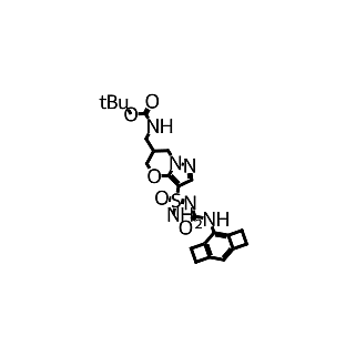 CC(C)(C)OC(=O)NCC1COc2c(S(N)(=O)=NC(=O)Nc3c4c(cc5c3CC5)CC4)cnn2C1